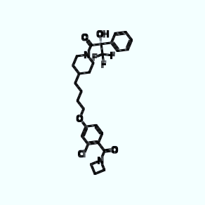 O=C(c1ccc(OCCCCC2CCN(C(=O)[C@@](O)(c3ccccc3)C(F)(F)F)CC2)cc1Cl)N1CCC1